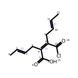 C/C=C/C/C(C(=O)O)=C(\C/C=C/C)C(=O)Cl